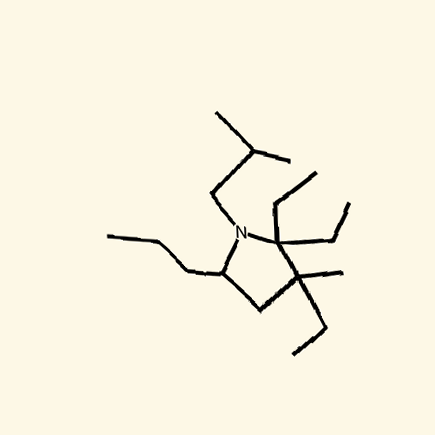 CCCC1CC(C)(CC)C(CC)(CC)N1CC(C)C